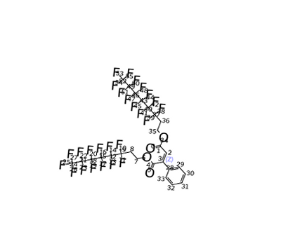 O=C(/C=C(\C(=O)OCCC(F)(F)C(F)(F)C(F)(F)C(F)(F)C(F)(F)C(F)(F)F)c1ccccc1)OCCC(F)(F)C(F)(F)C(F)(F)C(F)(F)C(F)(F)C(F)(F)F